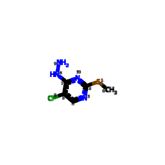 CSc1ncc(Cl)c(NN)n1